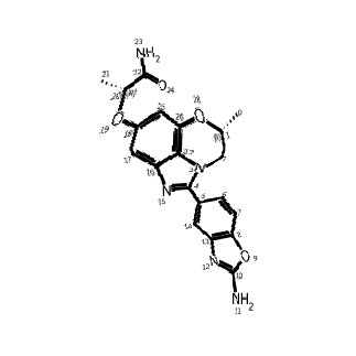 C[C@@H]1Cn2c(-c3ccc4oc(N)nc4c3)nc3cc(O[C@H](C)C(N)=O)cc(c32)O1